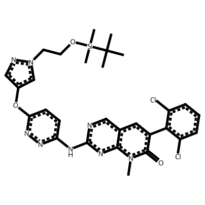 Cn1c(=O)c(-c2c(Cl)cccc2Cl)cc2cnc(Nc3ccc(Oc4cnn(CCO[Si](C)(C)C(C)(C)C)c4)nn3)nc21